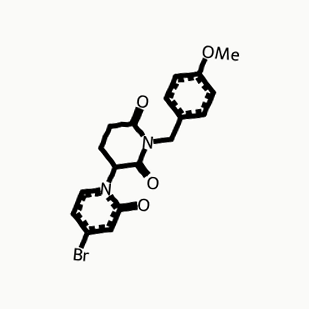 COc1ccc(CN2C(=O)CCC(n3ccc(Br)cc3=O)C2=O)cc1